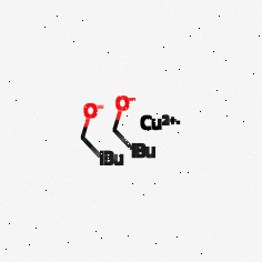 CCC(C)C[O-].CCC(C)C[O-].[Cu+2]